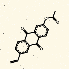 C=Cc1ccc2c(c1)C(=O)c1ccc(OC(C)=O)cc1C2=O